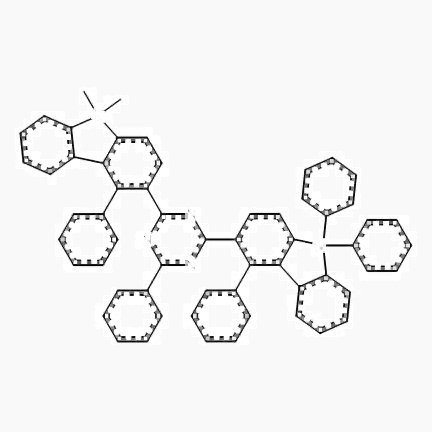 C[Si]1(C)c2ccccc2-c2c1ccc(-c1nc(-c3ccccc3)nc(-c3ccc4c(c3-c3ccccc3)-c3ccccc3[Si]4(c3ccccc3)c3ccccc3)n1)c2-c1ccccc1